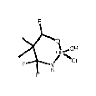 CC1(C)C(F)O[PH](O)(Cl)NC1(F)F